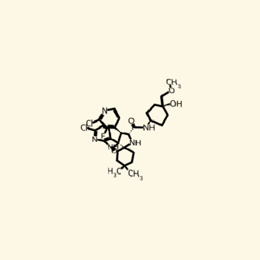 COC[C@]1(O)CC[C@@H](NC(=O)[C@@H]2NC3(CCC(C)(C)CC3)[C@@]3(C(=O)Nc4nc(Cl)ccc43)[C@H]2c2ccnc(Cl)c2F)CC1